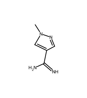 Cn1cc(C(=N)N)cn1